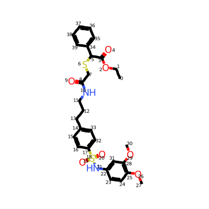 CCOC(=O)C(SCC(=O)NCCCc1ccc(S(=O)(=O)Nc2ccc(OC)c(OC)c2)cc1)c1ccccc1